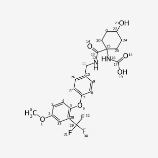 COc1ccc(Oc2ccc(CNC(=O)C3(NC(=O)O)CCC(O)CC3)cc2)c(C(F)(F)F)c1